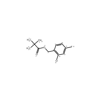 CC(C)(C)C(=O)OCc1ccc(F)cc1Cl